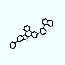 c1ccc(-c2ccc3c(c2)sc2c4ccc(-c5cccc(-c6cccc7ccccc67)c5)cc4c4ccccc4c32)cc1